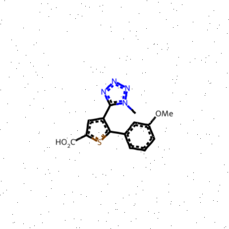 COc1cccc(-c2sc(C(=O)O)cc2-c2nnnn2C)c1